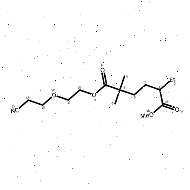 CCC(CCC(C)(C)C(=O)OCCOCCC#N)C(=O)OC